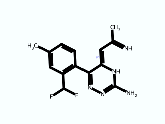 CC(=N)/C=C1\NC(N)=NN=C1c1ccc(C)cc1C(F)F